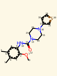 COc1cc(C)c(C)cc1NC(=O)N1CCN(c2ccsc2)CC1